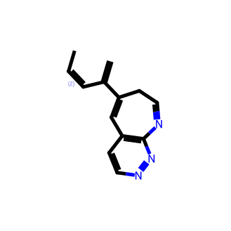 C=C(/C=C\C)C1=Cc2ccnnc2N=CC1